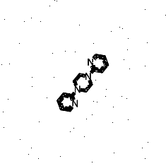 c1ccc(N2CCN(c3ccccn3)CC2)nc1